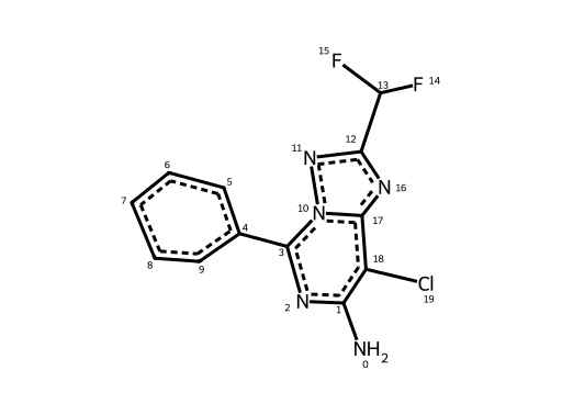 Nc1nc(-c2ccccc2)n2nc(C(F)F)nc2c1Cl